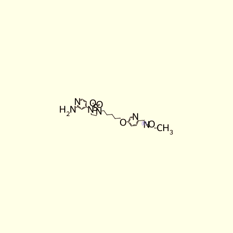 CCO/N=C/c1ccc(OCCCCCN2CCN(c3ccnc(N)c3)S2(=O)=O)cn1